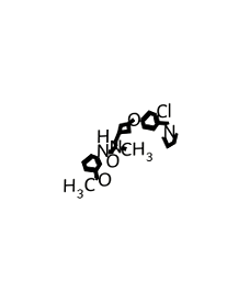 CC(=O)c1cccc(NC(=O)N(C)CC2CC(Oc3ccc(CN4CCCC4)c(Cl)c3)C2)c1